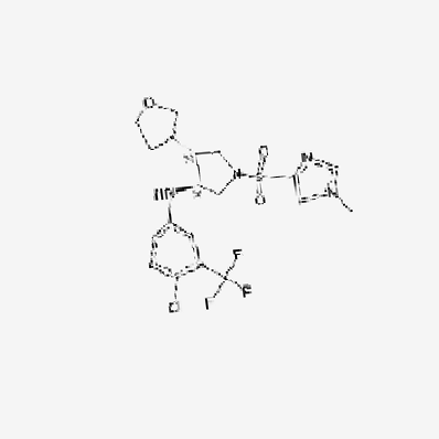 Cn1cnc(S(=O)(=O)N2C[C@@H](Nc3ccc(Cl)c(C(F)(F)F)c3)[C@H](C3CCOC3)C2)c1